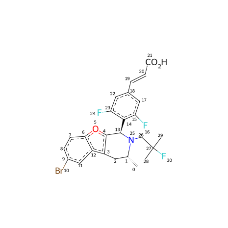 C[C@@H]1Cc2c(oc3ccc(Br)cc23)[C@@H](c2c(F)cc(/C=C/C(=O)O)cc2F)N1CC(C)(C)F